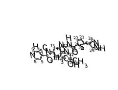 CN(C(=O)c1ccncc1)c1ccc2c(c1)nc(NC(=O)c1ccc(-c3cn[nH]c3)s1)n2CC(C)(C)O